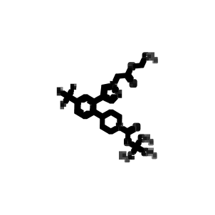 CCOC(=O)Cn1cc(-c2cc(C(F)(F)F)ccc2C2CCN(C(=O)OC(C)(C)C)CC2)cn1